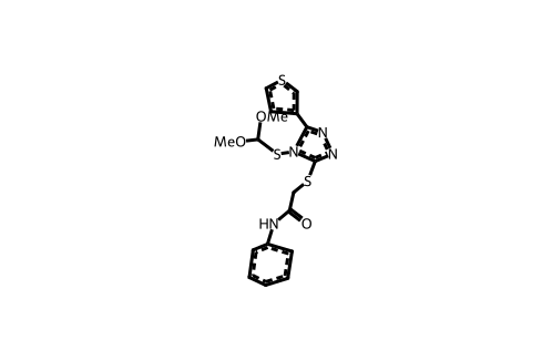 COC(OC)Sn1c(SCC(=O)Nc2ccccc2)nnc1-c1ccsc1